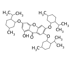 CC1CCC(C(C)C)C(Oc2cc(O)c3c(=O)c4cc(OC5CC(C)CCC5C(C)C)c(OC5CC(C)CCC5C(C)C)cc4oc3c2)C1